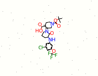 CC(C)(C)OC(=O)N1CC[C@H](C(=O)O)[C@@H](N2CCCC(Nc3cc(Cl)cc(OC(F)(F)F)c3)C2=O)C1